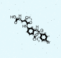 COc1ccc(NC(=O)[C@@H](C)CNC(=O)O)cc1NS(=O)(=O)c1ccc(Br)cc1